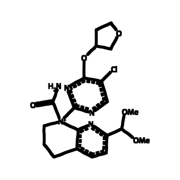 COC(OC)c1ccc2c(n1)[N+](C(N)=O)(c1ncc(Cl)c(OC3CCOC3)n1)CCC2